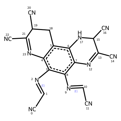 N#C/C=N/c1c2c(c3c(c1/N=C/C#N)N=C(C#N)C(C#N)N3)CC(C#N)C(C#N)=N2